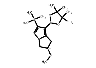 CS[C@@H]1Cc2c(B3OC(C)(C)C(C)(C)O3)c([Si](C)(C)C)nn2C1